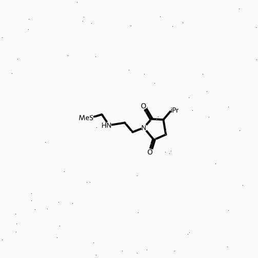 CSCNCCN1C(=O)CC(C(C)C)C1=O